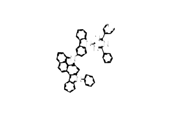 c1ccc(-c2nc(-c3ccccc3)nc(-n3c4ccccc4c4cc(-n5c6cccc7ccc8c9c%10ccccc%10n(-c%10ccccc%10)c9cc5c8c76)ccc43)n2)cc1